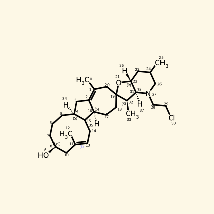 CC1=C2C[C@@H]3CCC[C@H](O)C/C(C)=C/CC3[C@@H]2CCC2(C1)O[C@@H]1CC(C)CN(CCCl)[C@H]1[C@H]2C